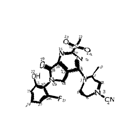 C[C@H]1CN(C#N)CCN1c1nc(S(C)(=O)=O)nc2c1CN(c1c(O)cccc1F)C2=O